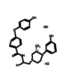 CC(C)C(CN1CCN(c2cccc(O)c2)[C@@H](C)C1)NC(=O)c1ccc(Oc2ccc(O)cc2)cc1.Cl.Cl